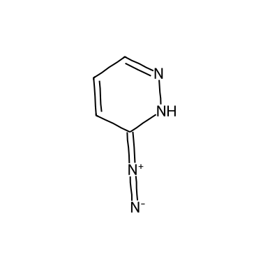 [N-]=[N+]=c1cccn[nH]1